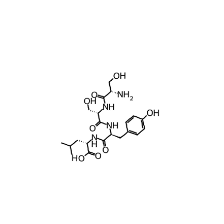 CC(C)C[C@H](NC(=O)[C@H](Cc1ccc(O)cc1)NC(=O)[C@H](CO)NC(=O)[C@@H](N)CO)C(=O)O